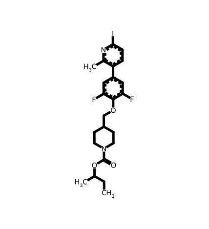 CCC(C)OC(=O)N1CCC(COc2c(F)cc(-c3ccc(I)nc3C)cc2F)CC1